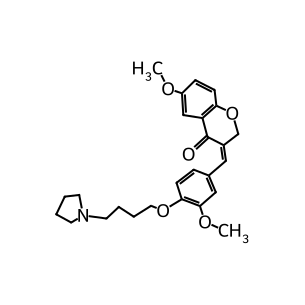 COc1ccc2c(c1)C(=O)C(=Cc1ccc(OCCCCN3CCCC3)c(OC)c1)CO2